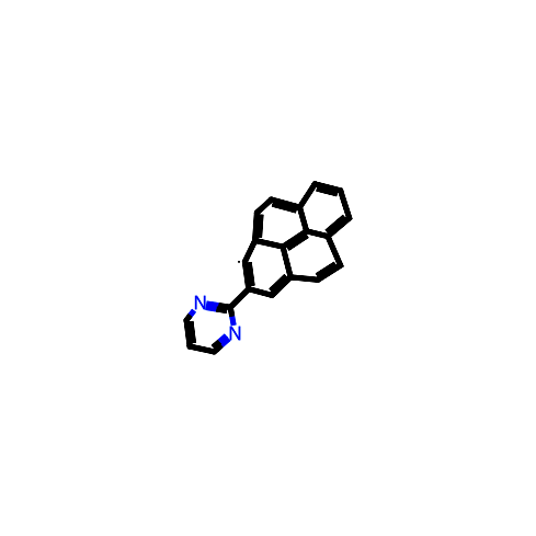 [c]1c(-c2ncccn2)cc2ccc3cccc4ccc1c2c43